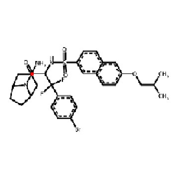 CC(C)COc1ccc2cc(S(=O)(=O)NC(C(=O)N3C4CCC3CC(N)C4)C(F)(F)c3ccc(Br)cc3)ccc2c1